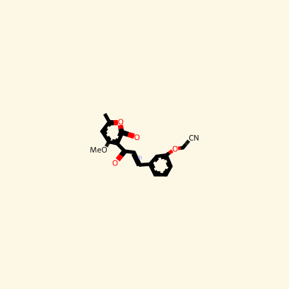 COc1cc(C)oc(=O)c1C(=O)/C=C/c1cccc(OCC#N)c1